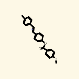 COc1ccc(C(=O)Oc2ccc(/C=C/c3ccc(C)cc3)cc2)cc1